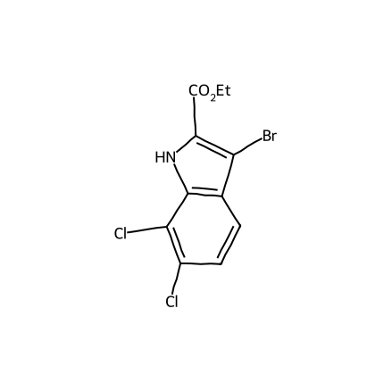 CCOC(=O)c1[nH]c2c(Cl)c(Cl)ccc2c1Br